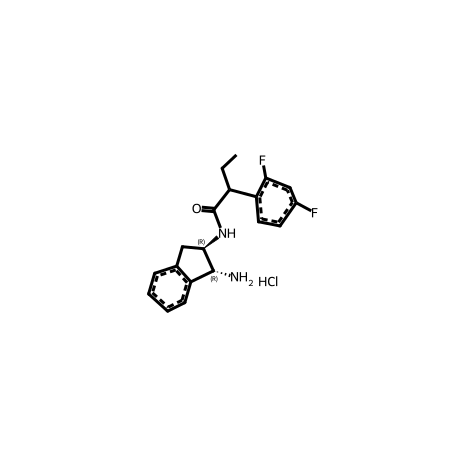 CCC(C(=O)N[C@@H]1Cc2ccccc2[C@H]1N)c1ccc(F)cc1F.Cl